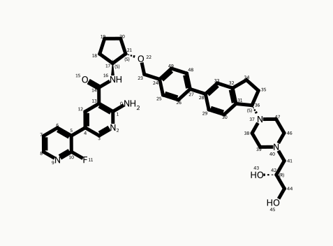 Nc1ncc(-c2cccnc2F)cc1C(=O)N[C@H]1CCC[C@@H]1OCc1ccc(-c2ccc3c(c2)CC[C@@H]3N2CCN(C[C@@H](O)CO)CC2)cc1